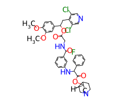 COc1ccc(C(Cc2c(Cl)cncc2Cl)OC(=O)CNC(=O)c2cccc(NC(C(=O)O[C@H]3CN4CCC3CC4)c3cccc(F)c3)c2)cc1OC